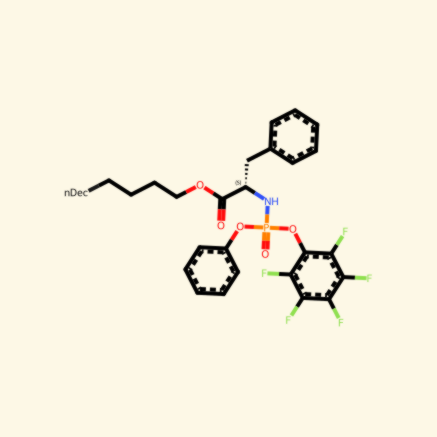 CCCCCCCCCCCCCCOC(=O)[C@H](Cc1ccccc1)NP(=O)(Oc1ccccc1)Oc1c(F)c(F)c(F)c(F)c1F